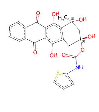 C[C@]1(O)C[C@](O)(OC(=O)Nc2cccs2)Cc2c(O)c3c(c(O)c21)C(=O)c1ccccc1C3=O